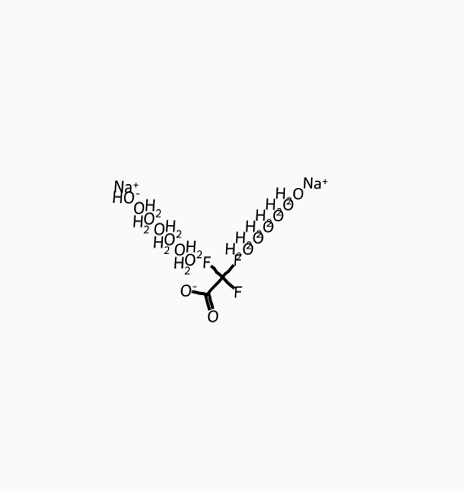 O.O.O.O.O.O.O.O.O.O.O.O.O=C([O-])C(F)(F)F.[Na+].[Na+].[OH-]